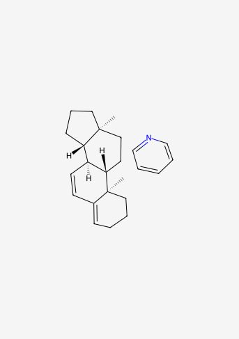 C[C@@]12CCC[C@H]1[C@@H]1C=CC3=CCCC[C@]3(C)[C@H]1CC2.c1ccncc1